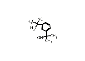 CC(C)(N=O)c1cccc(C(C)(C)N=O)c1